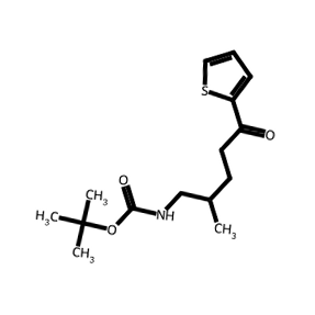 CC(CCC(=O)c1cccs1)CNC(=O)OC(C)(C)C